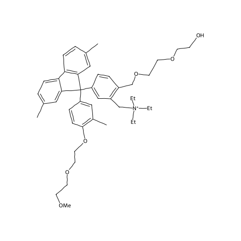 CC[N+](CC)(CC)Cc1cc(C2(c3ccc(OCCOCCOC)c(C)c3)c3cc(C)ccc3-c3ccc(C)cc32)ccc1COCCOCCO